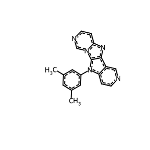 Cc1cc(C)cc(-n2c3ccncc3c3nc4ccncn4c32)c1